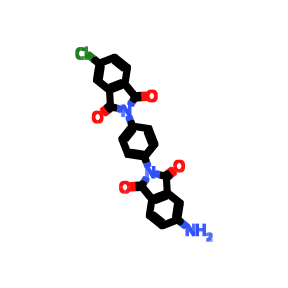 Nc1ccc2c(c1)C(=O)N(c1ccc(N3C(=O)c4ccc(Cl)cc4C3=O)cc1)C2=O